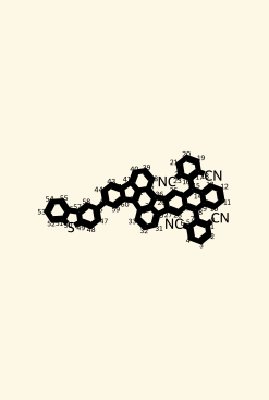 N#Cc1cccc(C#N)c1-c1c2ccccc2c(-c2c(C#N)cccc2C#N)c2cc3c(cc12)c1cccc2c1c3c1cccc3c4ccc(-c5ccc6sc7ccccc7c6c5)cc4c2c31